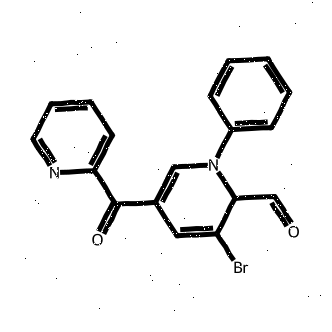 O=CC1C(Br)=CC(C(=O)c2ccccn2)=CN1c1ccccc1